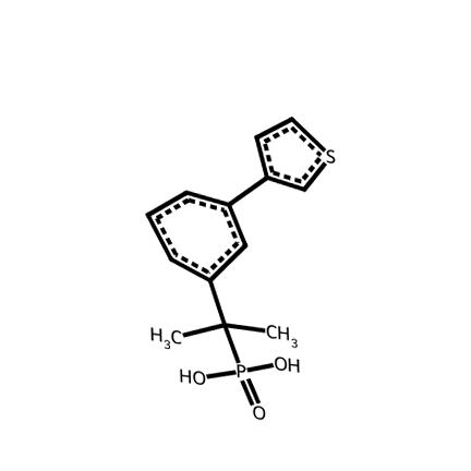 CC(C)(c1cccc(-c2ccsc2)c1)P(=O)(O)O